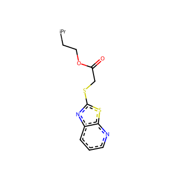 CC(C)CCOC(=O)CSc1nc2cccnc2s1